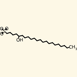 CCCCCCCCCCCCCCCCCC(O)CCCCS(=O)(=O)O